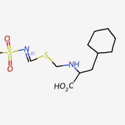 CS(=O)(=O)/N=C/SCNC(CC1CCCCC1)C(=O)O